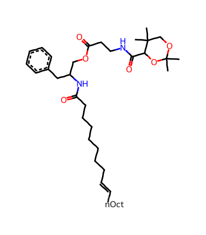 CCCCCCCCC=CCCCCCCCC(=O)NC(COC(=O)CCNC(=O)C1OC(C)(C)OCC1(C)C)Cc1ccccc1